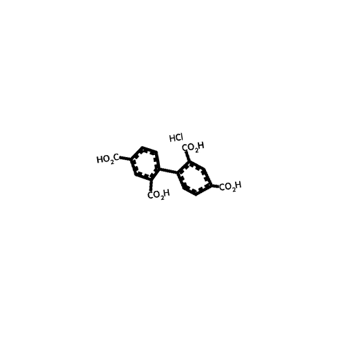 Cl.O=C(O)c1ccc(-c2ccc(C(=O)O)cc2C(=O)O)c(C(=O)O)c1